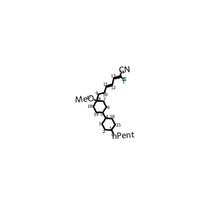 CCCCCC1CCC(C2CCC(CCC=CC=C(F)C#N)(OC)CC2)CC1